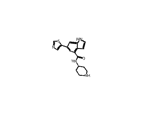 O=C(NC1CCNCC1)c1cc(-c2cncs2)cc2[nH]ccc12